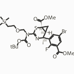 COC(=O)c1cc(Br)cc([C@@]2(C)N=C(N(COCC[Si](C)(C)C)C(=O)OC(C)(C)C)S[C@@]3(C(=O)OC)C[C@H]32)c1F